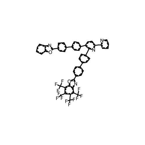 FC(F)(F)c1c(C(F)(F)F)c(C(F)(F)F)c2oc(-c3ccc(-c4ccc(-c5nc(-c6ccccn6)ccc5-c5ccc(-c6ccc(-c7nc8ccccc8o7)cc6)cc5)cc4)cc3)nc2c1C(F)(F)F